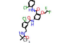 CC(C)(C(=O)NCc1ccc(Cl)c(C(=O)Nc2ccc(OCC(F)F)c(C(=O)Nc3ccccc3Cl)c2)c1)C(F)(F)F